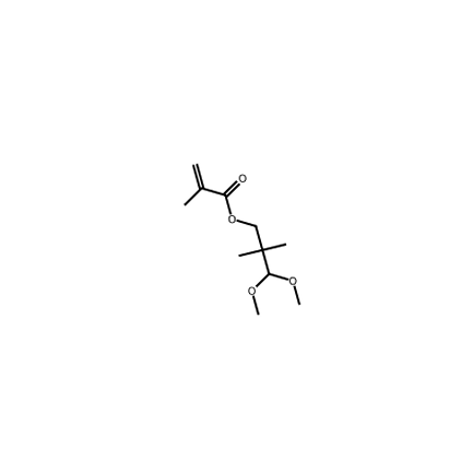 C=C(C)C(=O)OCC(C)(C)C(OC)OC